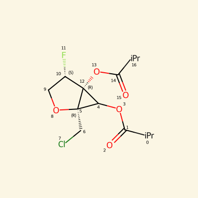 CC(C)C(=O)OC1[C@@]2(CCl)OC[C@H](F)[C@@]12OC(=O)C(C)C